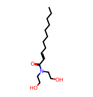 CCCCCCCCC=CC(=O)N(CCO)CCO